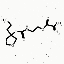 C=C(C)C(=O)OCCNC(=O)OC1(CCC)CCOC1